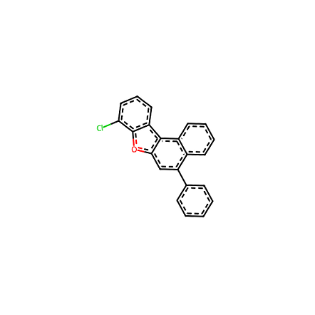 Clc1cccc2c1oc1cc(-c3ccccc3)c3ccccc3c12